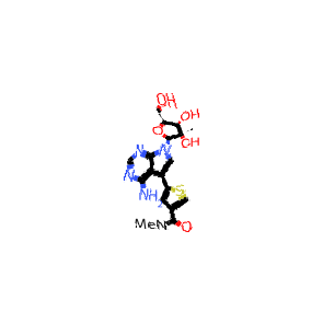 CNC(=O)c1csc(-c2cn([C@H]3O[C@H](CO)[C@@H](O)[C@@]3(C)O)c3ncnc(N)c23)c1